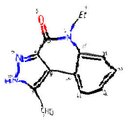 CCn1c(=O)c2n[nH]c(C=O)c2c2ccccc21